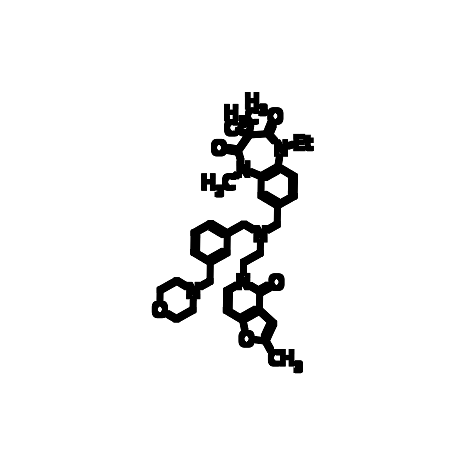 CCN1C(=O)C(C)(C)C(=O)N(C)c2cc(CN(CCn3ccc4oc(C)cc4c3=O)Cc3cccc(CN4CCOCC4)c3)ccc21